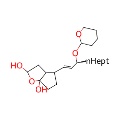 CCCCCCC[C@@H](/C=C/C1CCC2(O)OC(O)CC12)OC1CCCCO1